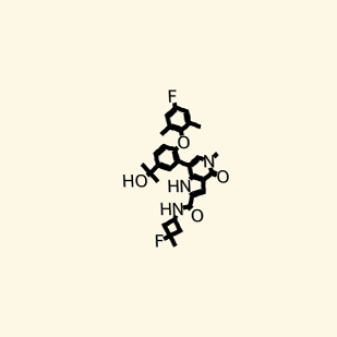 Cc1cc(F)cc(C)c1Oc1ccc(C(C)(C)O)cc1-c1cn(C)c(=O)c2cc(C(=O)NC3CC(C)(F)C3)[nH]c12